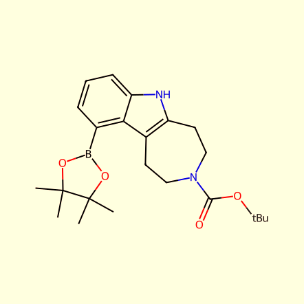 CC(C)(C)OC(=O)N1CCc2[nH]c3cccc(B4OC(C)(C)C(C)(C)O4)c3c2CC1